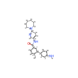 CNc1ccc(-c2cc(C(=O)NC3=CCC(N4CCCCCC4)N=C3)ccc2C)cc1